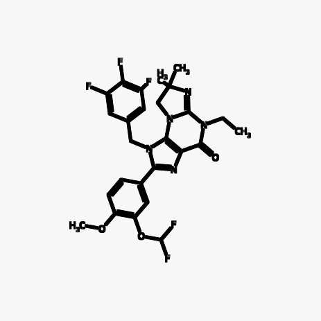 CCN1C(=O)c2nc(-c3ccc(OC)c(OC(F)F)c3)n(Cc3cc(F)c(F)c(F)c3)c2N2CC(C)(C)N=C12